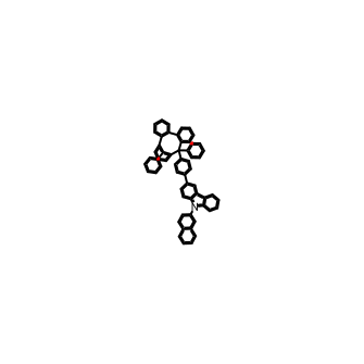 c1ccc(-c2c3cccc2C(c2ccccc2)(c2ccc(-c4ccc5c(c4)c4ccccc4n5-c4ccc5ccccc5c4)cc2)c2ccccc2-c2ccccc2-3)cc1